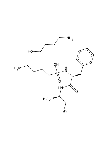 CC(C)C[C@H](NC(=O)[C@H](Cc1ccccc1)NP(=O)(O)CCCCN)C(=O)O.NCCCCO